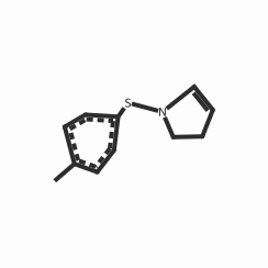 Cc1ccc(SN2C=CCC2)cc1